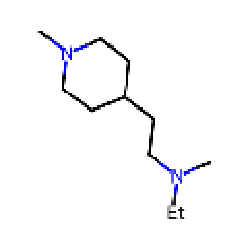 CCN(C)CCC1CCN(C)CC1